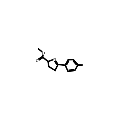 COC(=O)C1CCC(c2ccc(F)cc2)=N1